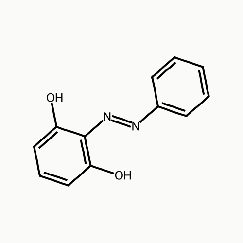 Oc1cccc(O)c1/N=N/c1ccccc1